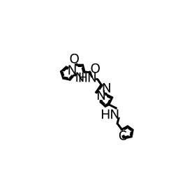 O=C(NCc1cn2ccc(CNCCc3ccccc3)cc2n1)c1cc(=O)n2ccccc2n1